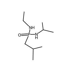 CCNP(=O)(CC(C)C)NC(C)C